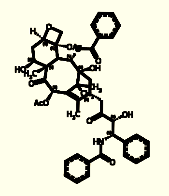 CC(=O)O[C@H]1C(=O)[C@@]2(C)C([C@H](OC(=O)c3ccccc3)[C@]3(O)C[C@H](CC(=O)[C@H](O)[C@@H](NC(=O)c4ccccc4)c4ccccc4)C(C)=C1C3(C)C)[C@]1(OC(C)=O)CO[C@@H]1C[C@@H]2O